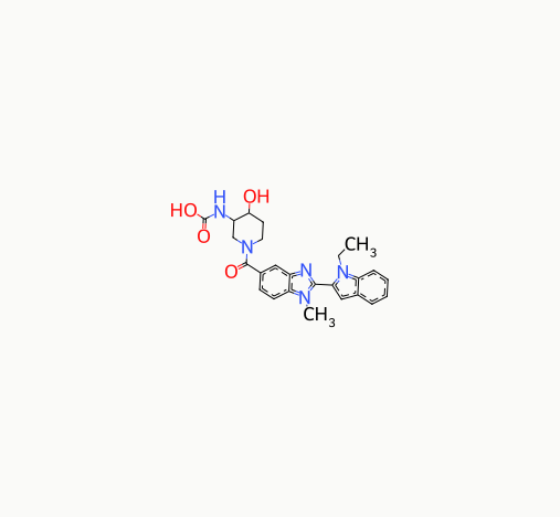 CCn1c(-c2nc3cc(C(=O)N4CCC(O)C(NC(=O)O)C4)ccc3n2C)cc2ccccc21